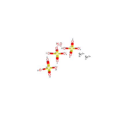 O.O=S(=O)([O-])[O-].O=S(=O)([O-])[O-].O=S(=O)([O-])[O-].[Sc+3].[Sc+3]